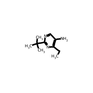 CCc1nc(C(C)(C)C)ncc1N